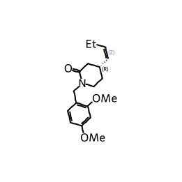 CC/C=C\[C@@H]1CCN(Cc2ccc(OC)cc2OC)C(=O)C1